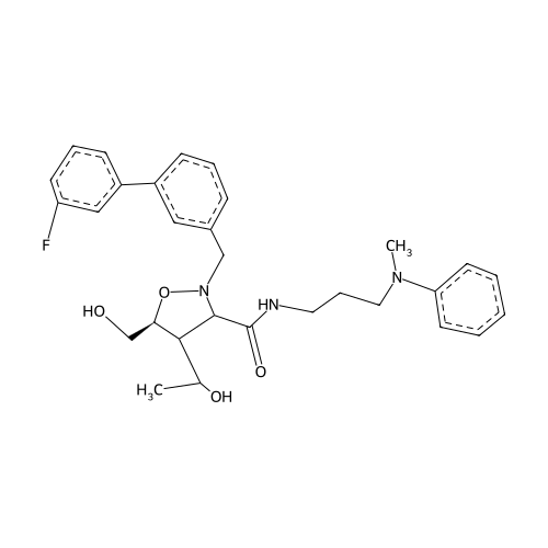 CC(O)C1C(C(=O)NCCCN(C)c2ccccc2)N(Cc2cccc(-c3cccc(F)c3)c2)O[C@@H]1CO